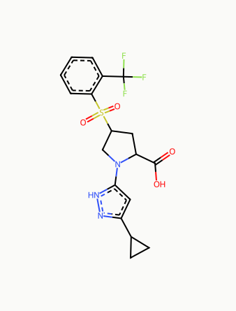 O=C(O)C1CC(S(=O)(=O)c2ccccc2C(F)(F)F)CN1c1cc(C2CC2)n[nH]1